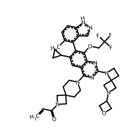 C=CC(=O)N1CC2(CCN(c3nc(N4CCC45CN(C4COC4)C5)nc4c(OCC(F)(F)F)c(-c5c(C)ccc6[nH]ncc56)c(C5CC5)cc34)CC2)C1